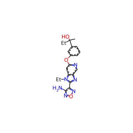 CCn1c(-c2nonc2N)nc2cnc(Oc3cccc(C(C)(O)CC)c3)cc21